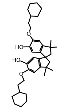 CC1(C)CC2(CC(C)(C)c3cc(OCCC4CCCCC4)c(O)cc32)c2cc(O)c(OCCC3CCCCC3)cc21